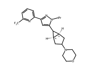 CC(C)n1nc(-c2cccc(C(F)(F)F)n2)cc1C1[C@H]2CC(N3CCOCC3)C[C@@H]12